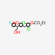 CCOC(=O)COc1cc(Cl)c(Cc2ccc(O)c(C(CCO)c3ccc(F)cc3)c2)c(Cl)c1